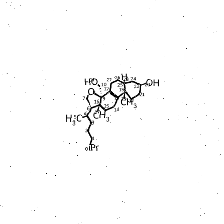 CC(C)CCC[C@@H](C)[C@H]1CO[C@@]2(CO)C3=C(CC[C@]12C)[C@@]1(C)CC[C@H](O)C[C@@H]1CC3